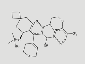 CC(C)(C)[Si](C)(C)O[C@H]1CC2(CCC2)Cc2nc(C3CCOCC3)c(C(O)c3ccc(C(F)(F)F)cn3)c(C3=CCOCC3)c21